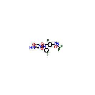 N=S1(=O)C=CN(S(=O)(=O)N(Cc2ccc(-c3nnc(C(F)F)o3)cc2F)c2ccc(F)cc2)C=C1